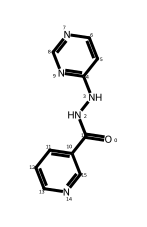 O=C(NNc1ccncn1)c1cccnc1